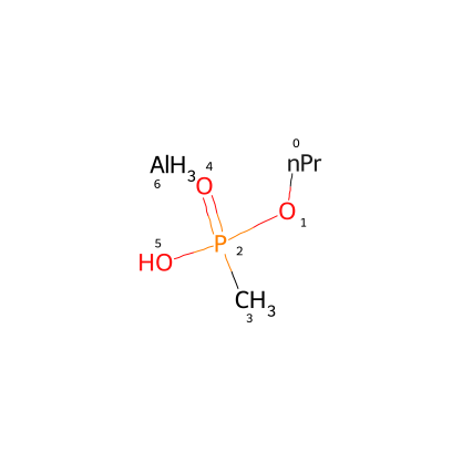 CCCOP(C)(=O)O.[AlH3]